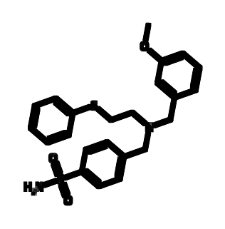 COc1cccc(CN(CCSc2ccccc2)Cc2ccc(S(N)(=O)=O)cc2)c1